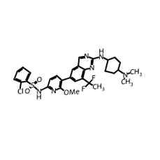 COc1nc(NS(=O)(=O)c2ccccc2Cl)ccc1-c1cc(C(C)(F)F)c2nc(NC3CCC(N(C)C)CC3)ncc2c1